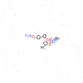 CC(C)(C)NC(=O)NS(=O)(=O)c1cc(C#N)ccc1Oc1cccc(-c2ccc(COCN)cc2)c1